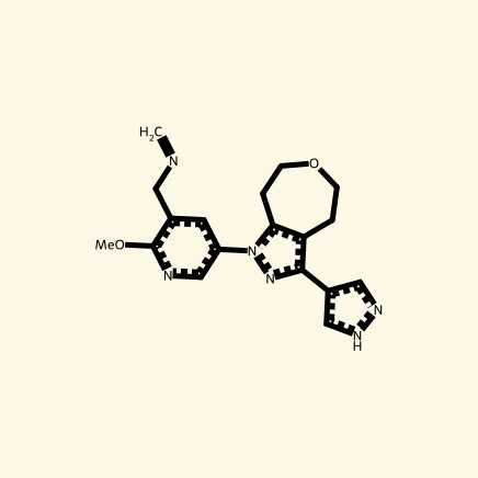 C=NCc1cc(-n2nc(-c3cn[nH]c3)c3c2CCOCC3)cnc1OC